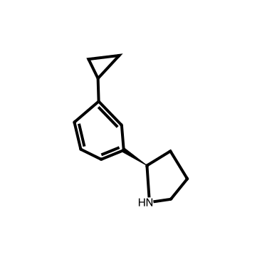 c1cc(C2CC2)cc([C@H]2CCCN2)c1